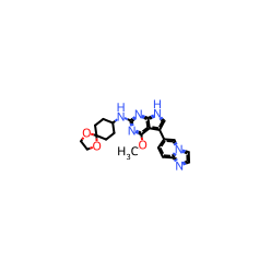 COc1nc(NC2CCC3(CC2)OCCO3)nc2[nH]cc(-c3ccc4nccn4c3)c12